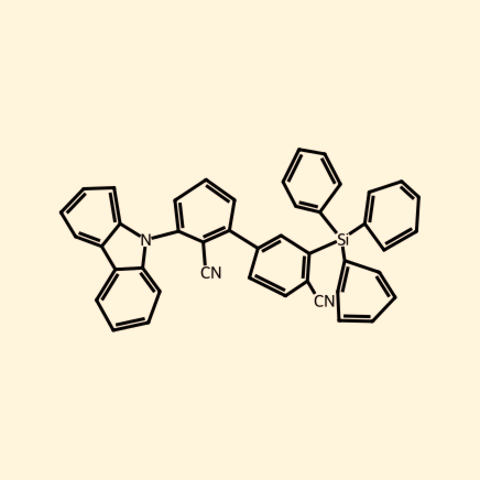 N#Cc1ccc(-c2cccc(-n3c4ccccc4c4ccccc43)c2C#N)cc1[Si](c1ccccc1)(c1ccccc1)c1ccccc1